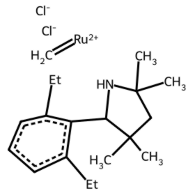 CCc1cccc(CC)c1C1NC(C)(C)CC1(C)C.[CH2]=[Ru+2].[Cl-].[Cl-]